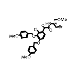 COC[C@H](CBr)NC(=O)C(=O)c1ccc(OCc2ccc(OC)cc2)c(OCc2ccc(OC)cc2)c1Cl